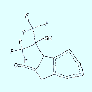 O=C1Cc2ccccc2C1C(O)(C(F)(F)F)C(F)(F)F